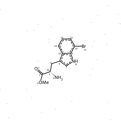 COC(=O)[C@@H](N)Cc1c[nH]c2c(Br)cccc12